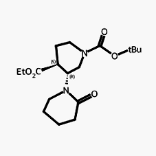 CCOC(=O)[C@H]1CCN(C(=O)OC(C)(C)C)C[C@@H]1N1CCCCC1=O